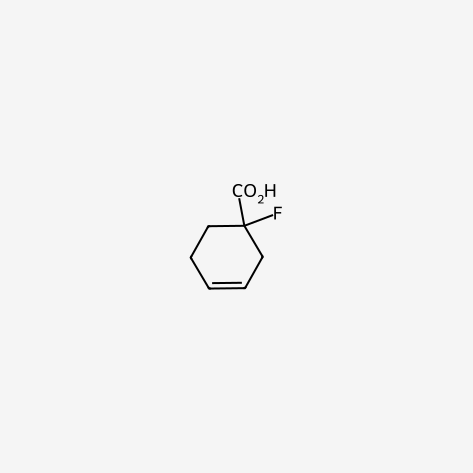 O=C(O)C1(F)CC=CCC1